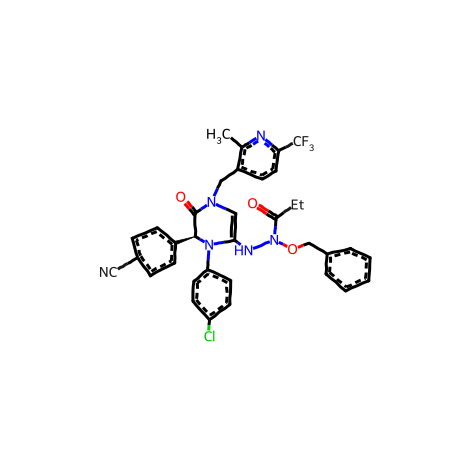 CCC(=O)N(NC1=CN(Cc2ccc(C(F)(F)F)nc2C)C(=O)[C@H](c2ccc(C#N)cc2)N1c1ccc(Cl)cc1)OCc1ccccc1